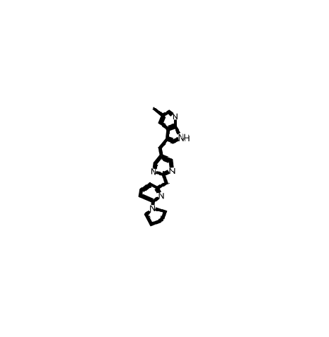 Cc1cnc2[nH]cc(Cc3cnc([CH]c4cccc(N5CCCC5)n4)nc3)c2c1